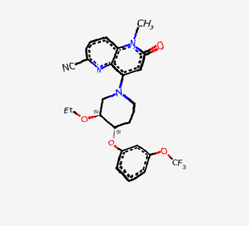 CCO[C@H]1CN(c2cc(=O)n(C)c3ccc(C#N)nc23)CC[C@@H]1Oc1cccc(OC(F)(F)F)c1